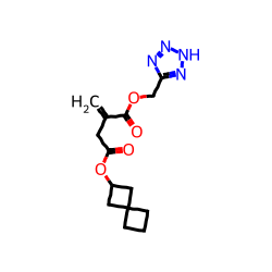 C=C(CC(=O)OC1CC2(CCC2)C1)C(=O)OCc1nn[nH]n1